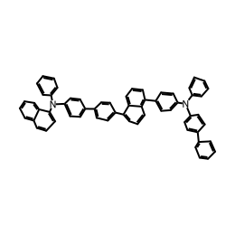 c1ccc(-c2ccc(N(c3ccccc3)c3ccc(-c4cccc5c(-c6ccc(-c7ccc(N(c8ccccc8)c8cccc9ccccc89)cc7)cc6)cccc45)cc3)cc2)cc1